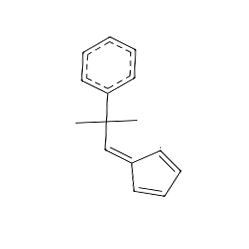 CC(C)(C=C1[C]=CC=C1)c1ccccc1